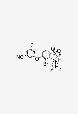 C=CCC1(N)c2c(ccc(Oc3cc(F)cc(C#N)c3)c2Br)S(=O)(=O)C1(F)F